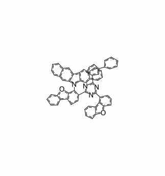 c1ccc(-c2cccc(-c3nc(-c4ccc5c(oc6ccccc65)c4-n4c5cc6ccccc6cc5c5cc6ccccc6cc54)nc(-c4cccc5oc6ccccc6c45)n3)c2)cc1